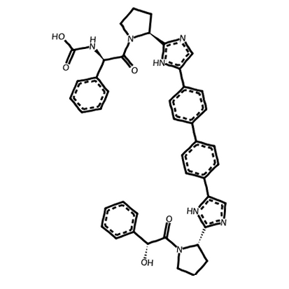 O=C(O)N[C@@H](C(=O)N1CCC[C@H]1c1ncc(-c2ccc(-c3ccc(-c4cnc([C@@H]5CCCN5C(=O)[C@H](O)c5ccccc5)[nH]4)cc3)cc2)[nH]1)c1ccccc1